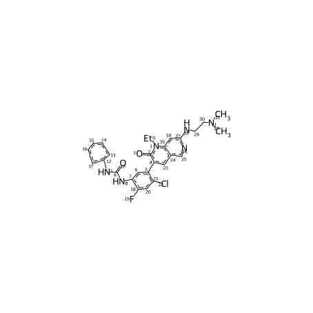 CCn1c(=O)c(-c2cc(NC(=O)Nc3ccccc3)c(F)cc2Cl)cc2cnc(NCCN(C)C)cc21